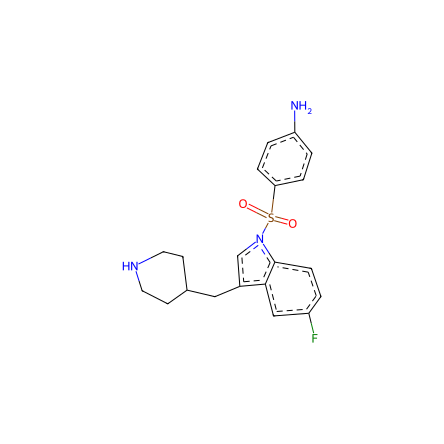 Nc1ccc(S(=O)(=O)n2cc(CC3CCNCC3)c3cc(F)ccc32)cc1